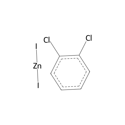 Clc1ccccc1Cl.[I][Zn][I]